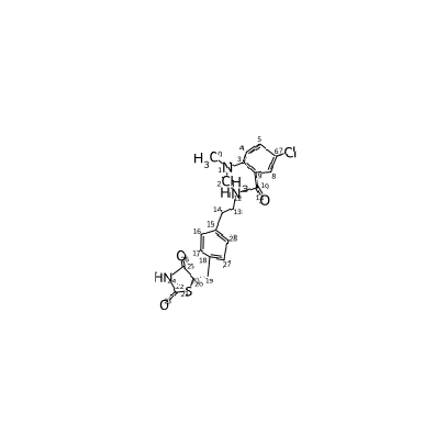 CN(C)c1ccc(Cl)cc1C(=O)NCCc1ccc(C[C@@H]2SC(=O)NC2=O)cc1